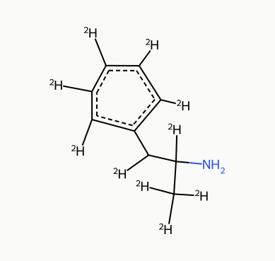 [2H]c1c([2H])c([2H])c(C([2H])C([2H])(N)C([2H])([2H])[2H])c([2H])c1[2H]